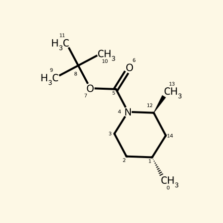 C[C@@H]1CCN(C(=O)OC(C)(C)C)[C@@H](C)C1